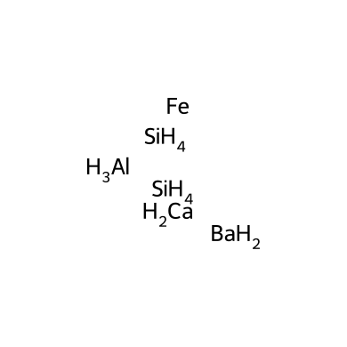 [AlH3].[BaH2].[CaH2].[Fe].[SiH4].[SiH4]